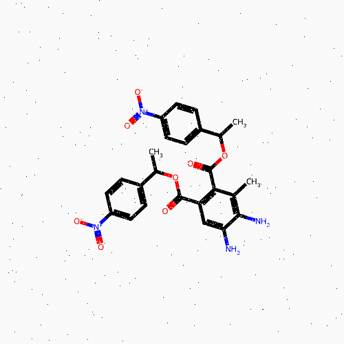 Cc1c(N)c(N)cc(C(=O)OC(C)c2ccc([N+](=O)[O-])cc2)c1C(=O)OC(C)c1ccc([N+](=O)[O-])cc1